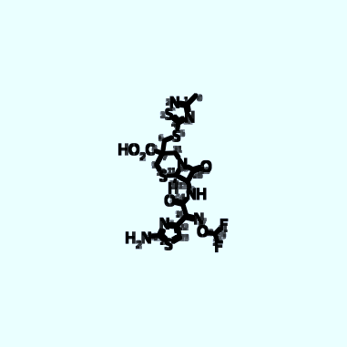 Cc1nsc(SCC2(C(=O)O)CS[C@@H]3C(NC(=O)C(=NOC(F)F)c4csc(N)n4)C(=O)N3C2)n1